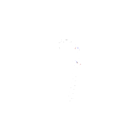 CCCCC/C=C\C/C=C\C/C=C\CCCCC(=O)N[C@H](C)CCCCNC(=O)CCCCCCCCCCCCCCCCC